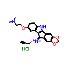 C#CCO/N=C1/c2cc3c(cc2-c2[nH]c4ccc(OCCN(C)C)cc4c21)OCO3.Cl